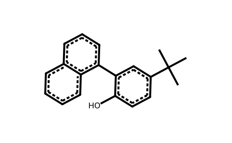 CC(C)(C)c1ccc(O)c(-c2cccc3ccccc23)c1